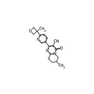 CC1CSc2nc(-c3ccc(C4(C)COC4)nc3)c(C#N)c(=O)n2C1